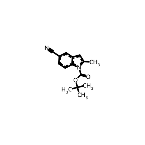 Cc1cc2cc(C#N)ccc2n1C(=O)OC(C)(C)C